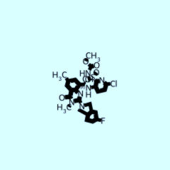 COC(=O)NS(=O)(=O)c1nc(Cl)ccc1N[C@H](C)c1cc(C)cc2c(=O)n(C)c(N3Cc4ccc(F)cc4C3)nc12